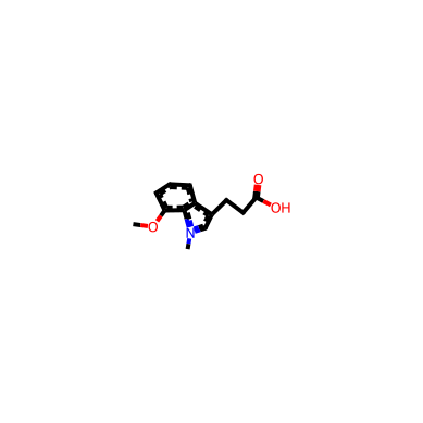 COc1cccc2c(CCC(=O)O)cn(C)c12